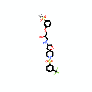 CS(=O)(=O)c1cccc(OCC(O)CNC2COC3(CCN(S(=O)(=O)c4cccc(C(F)(F)F)c4)CC3)C2)c1